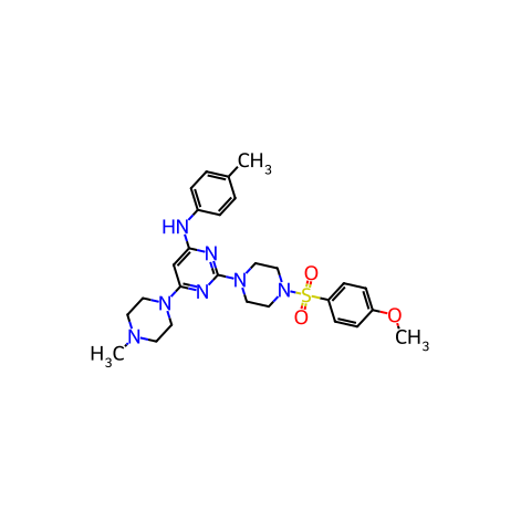 COc1ccc(S(=O)(=O)N2CCN(c3nc(Nc4ccc(C)cc4)cc(N4CCN(C)CC4)n3)CC2)cc1